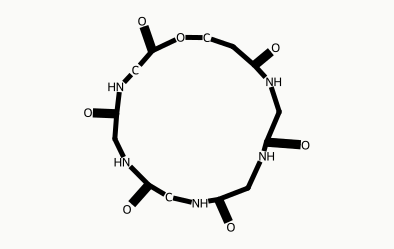 O=C1CCOC(=O)CNC(=O)CNC(=O)CNC(=O)CNC(=O)CN1